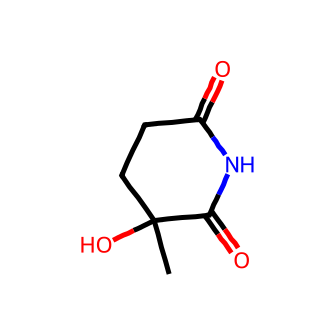 CC1(O)CCC(=O)NC1=O